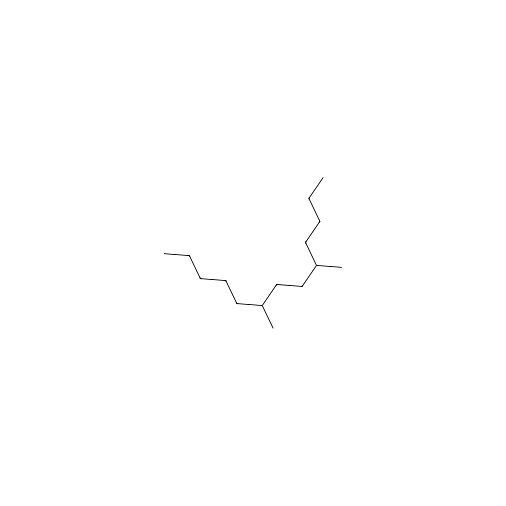 CCCCCC(C)CCC(C)CCCC